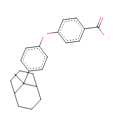 CC1(c2ccc(Oc3ccc(C(=O)O)cc3)cc2)C2CCCC1CCC2